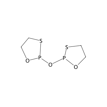 C1CSP(OP2OCCS2)O1